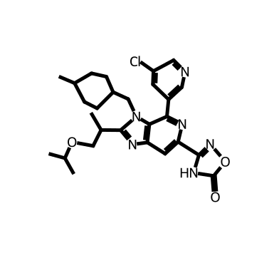 CC1CCC(Cn2c(C(C)COC(C)C)nc3cc(-c4noc(=O)[nH]4)nc(-c4cncc(Cl)c4)c32)CC1